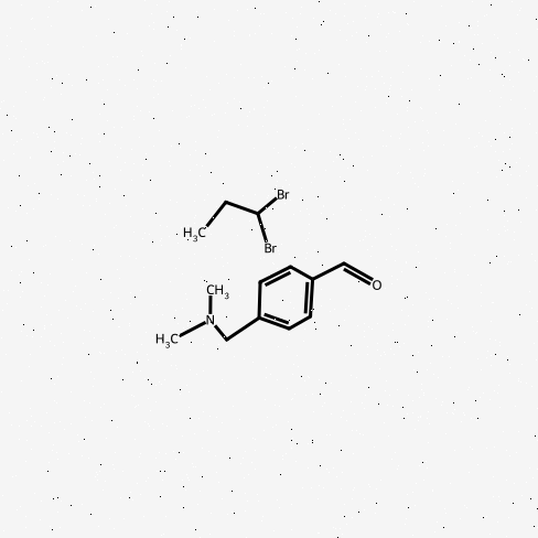 CCC(Br)Br.CN(C)Cc1ccc(C=O)cc1